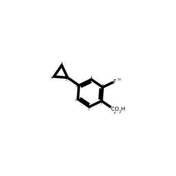 O=C(O)c1ccc(C2CC2)cc1F